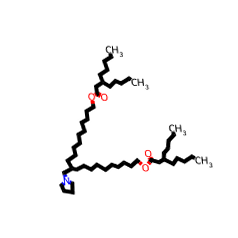 CCCCCC(CCCCC)CC(=O)OCCCCCCCCCCC(CCCCCCCCCCOC(=O)CC(CCCCC)CCCCC)CN1CCCC1